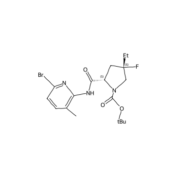 CC[C@]1(F)C[C@@H](C(=O)Nc2nc(Br)ccc2C)N(C(=O)OC(C)(C)C)C1